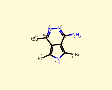 CCc1[nH]c(C(C)(C)C)c2c(N)nnc(C(C)(C)C)c12